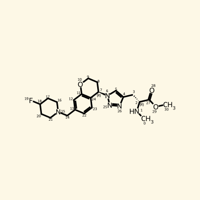 CN[C@H](Cc1cn([C@@H]2CCOc3cc(CN4CCC(F)CC4)ccc32)nn1)C(=O)OC